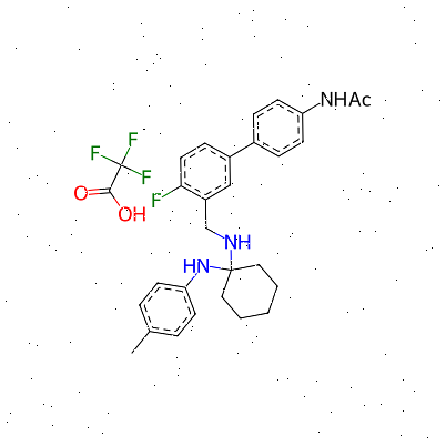 CC(=O)Nc1ccc(-c2ccc(F)c(CNC3(Nc4ccc(C)cc4)CCCCC3)c2)cc1.O=C(O)C(F)(F)F